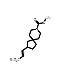 CCOC(=O)/C=C/C1CCC2(CCN(C(=O)OC(C)(C)C)CC2)C1